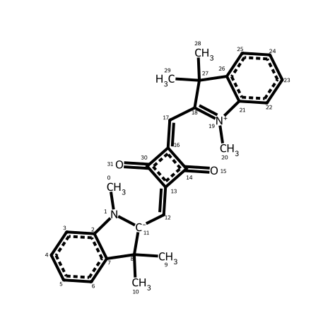 CN1c2ccccc2C(C)(C)[C-]1C=c1c(=O)c(=CC2=[N+](C)c3ccccc3C2(C)C)c1=O